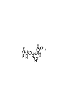 C[C@H]1C[C@@H](Nc2nc(-c3ccnc(Nc4nc(F)ccc4F)c3)nc3cncc(C4CC4)c23)CCN1